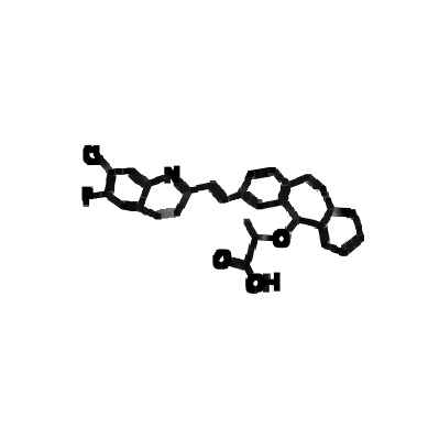 CC(OC1c2ccccc2C=Cc2ccc(C=Cc3ccc4cc(F)c(Cl)cc4n3)cc21)C(=O)O